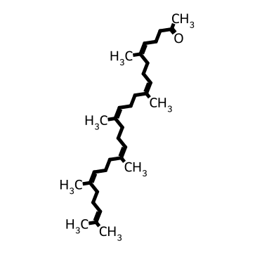 CC(=O)CCC=C(C)CCC=C(C)CCC=C(C)CCC=C(C)CCC=C(C)CCC=C(C)C